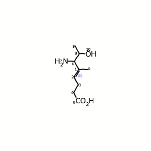 C/C(=C\CCC(=O)O)C(N)C(C)O